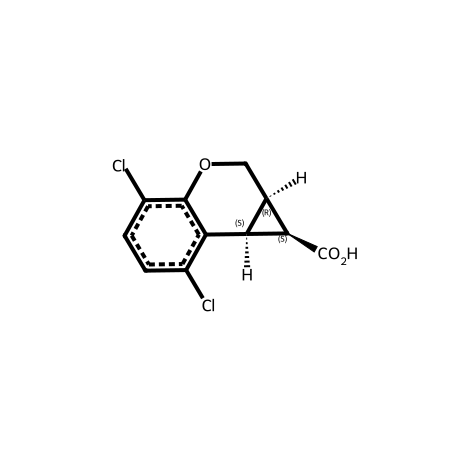 O=C(O)[C@@H]1[C@@H]2COc3c(Cl)ccc(Cl)c3[C@@H]21